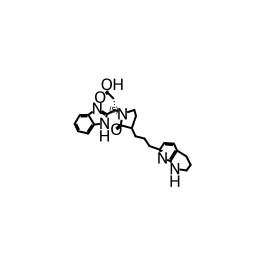 O=C(O)C[C@@H](c1nc2ccccc2[nH]1)N1CCC(CCCc2ccc3c(n2)NCCC3)C1=O